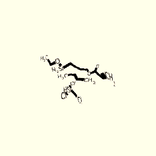 C=CC(=O)OCCC[SiH2]OCC.C=CCC.Cl[SiH](Cl)Cl